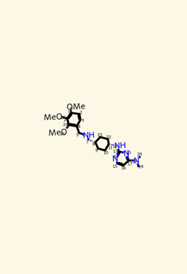 COc1ccc(CNC[C@H]2CC[C@@H](Nc3nccc(N(C)C)n3)CC2)c(OC)c1OC